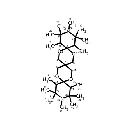 CC1C2(OCC3(CO2)COC2(OC3)C(C)C(C)(C)N(C)C(C)(C)C2C)C(C)C(C)(C)N(C)C1(C)C